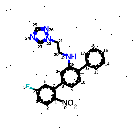 O=[N+]([O-])c1ccc(F)cc1-c1ccc(-c2ccccc2)c(NCCn2cncn2)c1